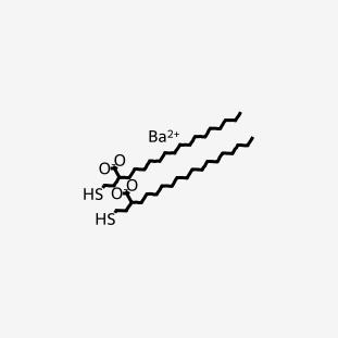 CCCCCCCCCCCCCCCCC(CCS)C(=O)[O-].CCCCCCCCCCCCCCCCC(CCS)C(=O)[O-].[Ba+2]